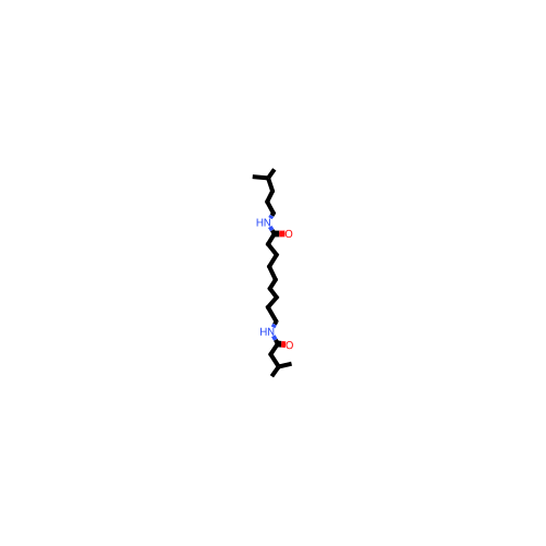 CC(C)CCCNC(=O)CCCCCCCCNC(=O)CC(C)C